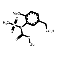 COc1ccc(CC(=O)O)cc1N(C(=O)OC(C)(C)C)S(C)(=O)=O